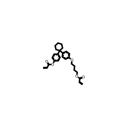 C=CC(=O)OCCCCOc1ccc(C2(c3ccc(OC(=O)C=C)cc3)CCCCC2)cc1